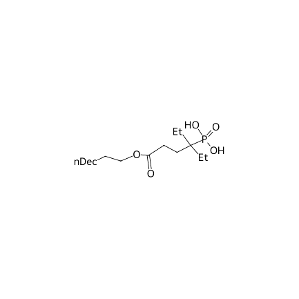 CCCCCCCCCCCCOC(=O)CCC(CC)(CC)P(=O)(O)O